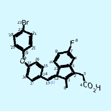 CC1=C(CC(=O)O)c2cc(F)ccc2/C1=C\c1ccc(Oc2ccc(Br)cc2)cc1